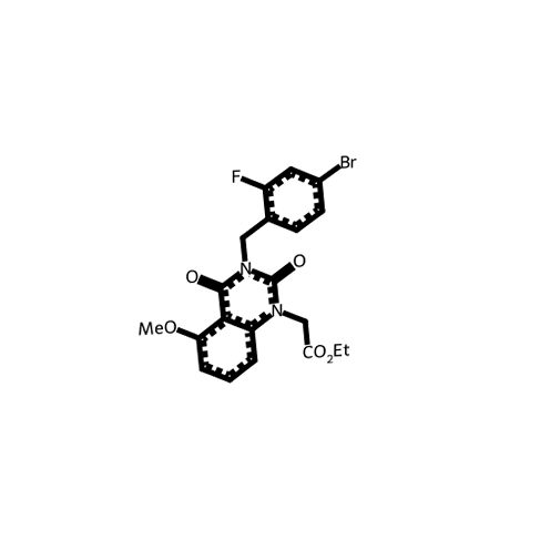 CCOC(=O)Cn1c(=O)n(Cc2ccc(Br)cc2F)c(=O)c2c(OC)cccc21